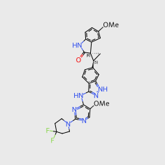 COc1ccc2c(c1)[C@]1(C[C@H]1c1ccc3c(Nc4nc(N5CCC(F)(F)CC5)ncc4OC)n[nH]c3c1)C(=O)N2